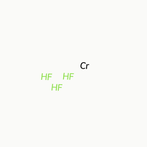 F.F.F.[Cr]